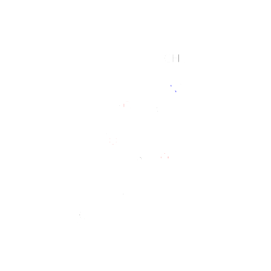 CCCC(=O)OC1CCN(C)C1=O